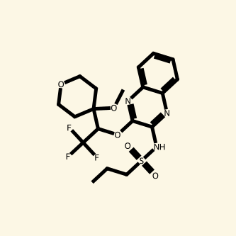 CCCS(=O)(=O)Nc1nc2ccccc2nc1OC(C(F)(F)F)C1(OC)CCOCC1